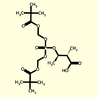 C[C@H](C(=O)O)[C@@H](C)OP(=O)(OCOC(=O)C(C)(C)C)OCOC(=O)C(C)(C)C